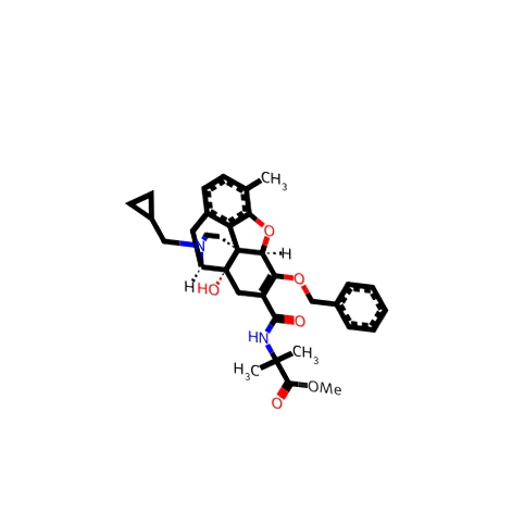 COC(=O)C(C)(C)NC(=O)C1=C(OCc2ccccc2)[C@@H]2Oc3c(C)ccc4c3[C@@]23CCN(CC2CC2)[C@H](C4)[C@]3(O)C1